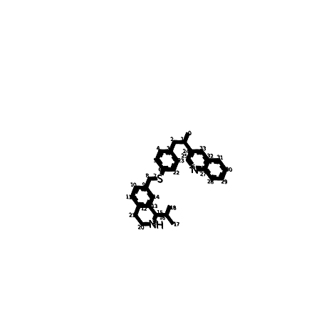 CC(Cc1ccc(SCc2ccc3c(c2)C(C(C)C)NCC3)cc1)c1cnc2ccccc2c1